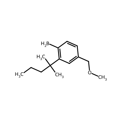 Bc1ccc(COC)cc1C(C)(C)CCC